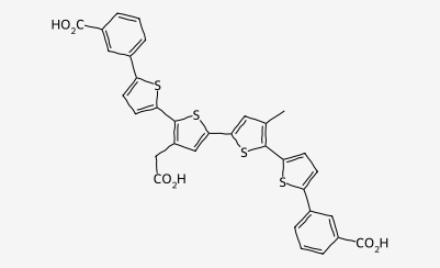 Cc1cc(-c2cc(CC(=O)O)c(-c3ccc(-c4cccc(C(=O)O)c4)s3)s2)sc1-c1ccc(-c2cccc(C(=O)O)c2)s1